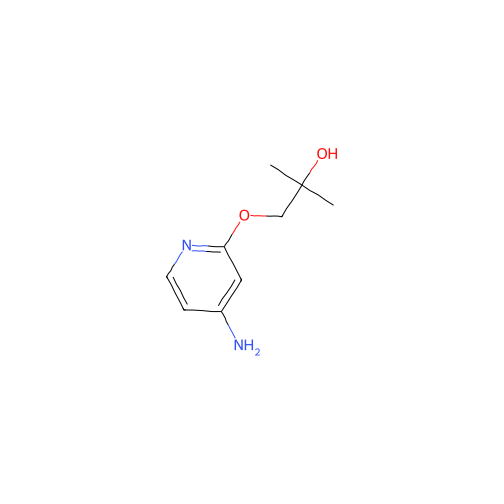 CC(C)(O)COc1cc(N)ccn1